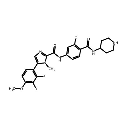 COc1ccc(-c2cnc(C(=O)Nc3ccc(C(=O)NC4CCNCC4)c(Cl)c3)n2C)c(F)c1F